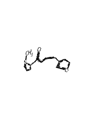 Cn1cccc1C(=O)/C=C/c1ccoc1